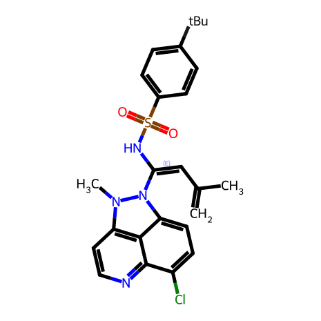 C=C(C)/C=C(/NS(=O)(=O)c1ccc(C(C)(C)C)cc1)N1c2ccc(Cl)c3nccc(c23)N1C